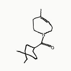 CC1=CCN(C(=O)C2CC(C)(C)C2)CC1